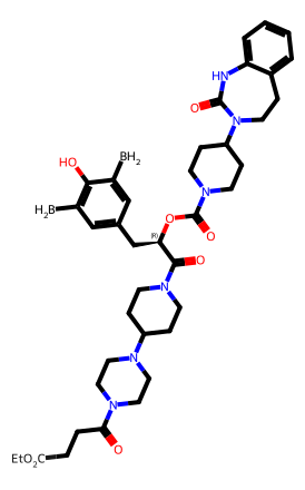 Bc1cc(C[C@@H](OC(=O)N2CCC(N3CCc4ccccc4NC3=O)CC2)C(=O)N2CCC(N3CCN(C(=O)CCC(=O)OCC)CC3)CC2)cc(B)c1O